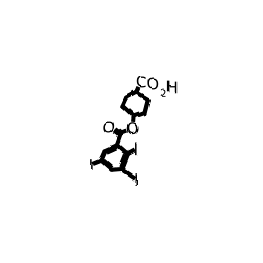 O=C(OC1CCC(C(=O)O)CC1)c1cc(I)cc(I)c1I